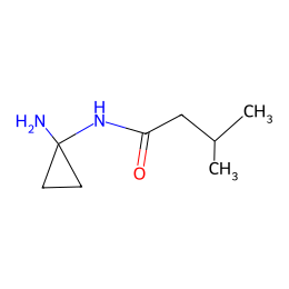 CC(C)CC(=O)NC1(N)CC1